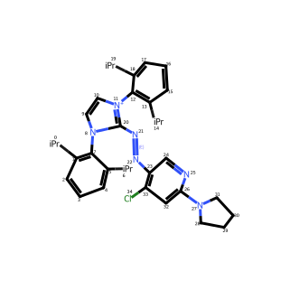 CC(C)c1cccc(C(C)C)c1-n1cc[n+](-c2c(C(C)C)cccc2C(C)C)c1/N=N/c1cnc(N2CCCC2)cc1Cl